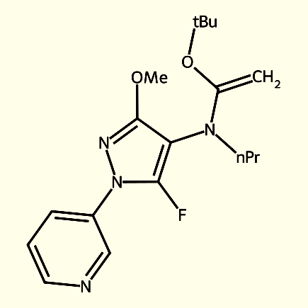 C=C(OC(C)(C)C)N(CCC)c1c(OC)nn(-c2cccnc2)c1F